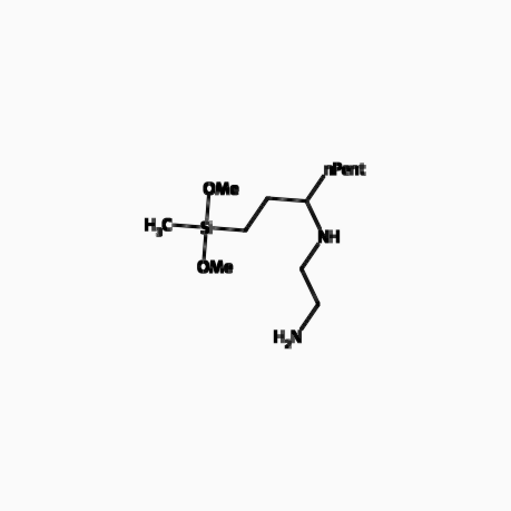 CCCCCC(CC[Si](C)(OC)OC)NCCN